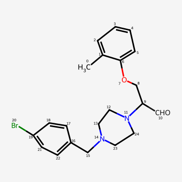 Cc1ccccc1OCC(C=O)N1CCN(Cc2ccc(Br)cc2)CC1